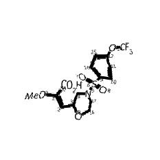 CO/C(=C/C1CN(S(=O)(=O)c2ccc(OC(F)(F)F)cc2)CCO1)C(=O)O